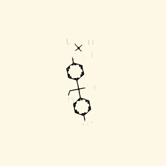 CCC(C)(C)Oc1ccc(C(C)(CC(C)C)c2ccc(OC(C)=O)cc2)cc1